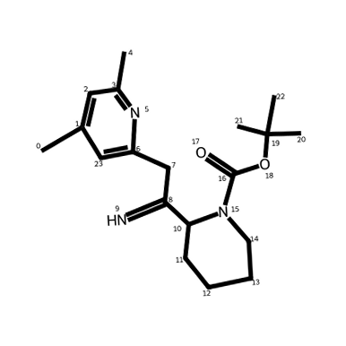 Cc1cc(C)nc(CC(=N)C2CCCCN2C(=O)OC(C)(C)C)c1